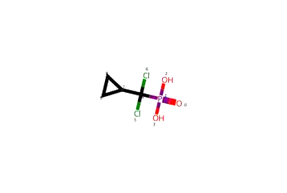 O=P(O)(O)C(Cl)(Cl)C1CC1